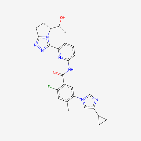 Cc1cc(F)c(C(=O)Nc2cccc(-c3nnc4n3[C@@H]([C@@H](C)O)CC4)n2)cc1-n1cnc(C2CC2)c1